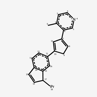 Cc1ccncc1C1=CCC(c2ccc3c(c2)C(C(C)C)C=C3)=C1